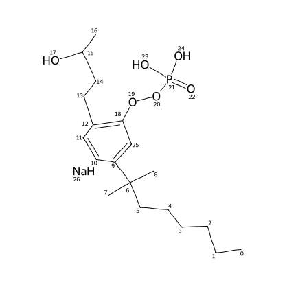 CCCCCCC(C)(C)c1ccc(CCC(C)O)c(OOP(=O)(O)O)c1.[NaH]